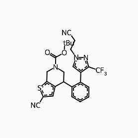 CC(C)(C)OC(=O)N1Cc2sc(C#N)cc2C(c2ccccc2-c2cn(CCC#N)nc2C(F)(F)F)C1